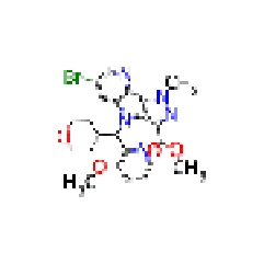 COC(=O)c1nn(C)c2c3ncc(Br)cc3n(C(c3ncccc3OC)C3CCOCC3)c12